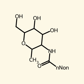 CCCCCCCCCC(=O)NC1C(C)OC(CO)C(O)C1O